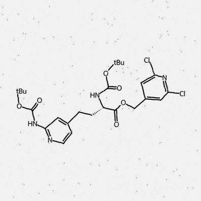 CC(C)(C)OC(=O)Nc1cc(CC[C@H](NC(=O)OC(C)(C)C)C(=O)OCc2cc(Cl)nc(Cl)c2)ccn1